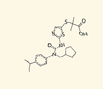 CC(C)c1ccc(N(CC2CCCC2)C(=O)Nc2ncc(SC(C)(C)C(=O)O)s2)cc1